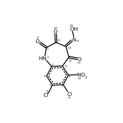 O=C1Nc2cc(Cl)c(Cl)c([N+](=O)[O-])c2C(=O)C(=NO)C1=O